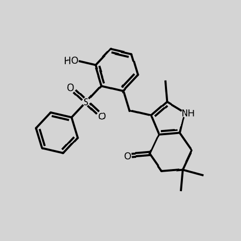 Cc1[nH]c2c(c1Cc1cccc(O)c1S(=O)(=O)c1ccccc1)C(=O)CC(C)(C)C2